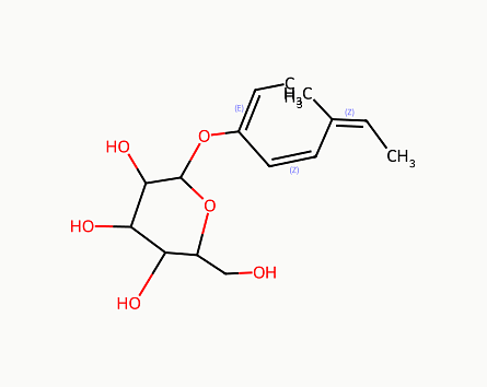 C\C=C(C)/C=C\C(=C/C)OC1OC(CO)C(O)C(O)C1O